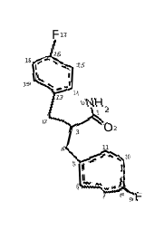 NC(=O)C(Cc1ccc(F)cc1)Cc1ccc(F)cc1